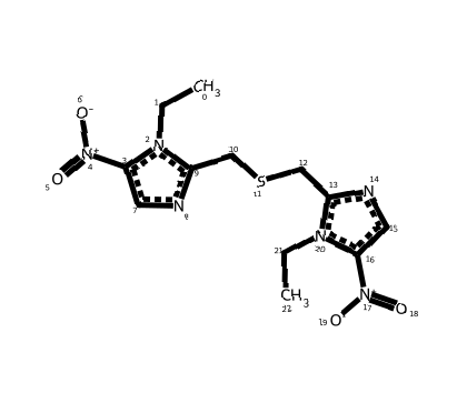 CCn1c([N+](=O)[O-])cnc1CSCc1ncc([N+](=O)[O-])n1CC